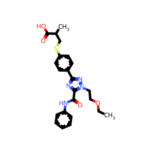 CCOCCn1nc(-c2ccc(SCC(C)C(=O)O)cc2)nc1C(=O)Nc1ccccc1